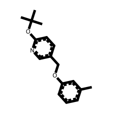 Cc1cccc(OCc2ccc(OC(C)(C)C)nc2)c1